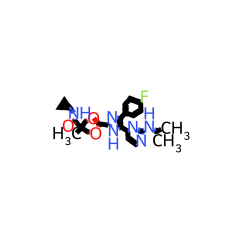 CC(C)Nc1nccc(-c2[nH]c(C3OCC(C)(C(=O)NC4CC4)CO3)nc2-c2ccc(F)cc2)n1